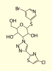 OCC1OC(Sc2cncc(Br)c2)C(O)C(n2cc(-c3nc(Cl)cs3)nn2)C1O